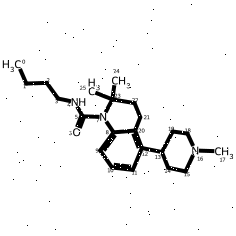 CCCCNC(=O)N1c2cccc(C3CCN(C)CC3)c2CCC1(C)C